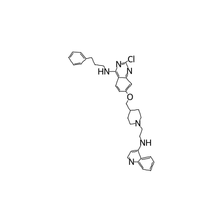 Clc1nc(NCCCc2ccccc2)c2ccc(OCC3CCN(CCNc4ccnc5ccccc45)CC3)cc2n1